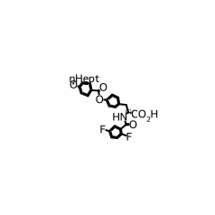 CCCCCCCOc1ccc(C(=O)Oc2ccc(C[C@H](NC(=O)c3cc(F)ccc3F)C(=O)O)cc2)cc1